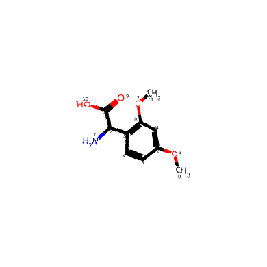 COc1ccc(C(N)C(=O)O)c(OC)c1